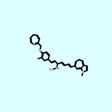 Cn1ccc2c1=CC(/C=C/C=C/C(/C=C/C1C=CC(OCC3=NC=CCC=C3)=C(F)C1)NN)=CCC=2